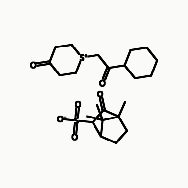 CC12CCC(C(S(=O)(=O)[O-])C1=O)C2(C)C.O=C1CC[S+](CC(=O)C2CCCCC2)CC1